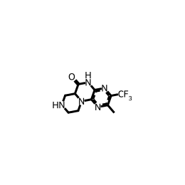 Cc1nc2c(nc1C(F)(F)F)NC(=O)C1CNCCN21